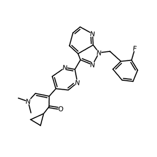 CN(C)C=C(C(=O)C1CC1)c1cnc(-c2nn(Cc3ccccc3F)c3ncccc23)nc1